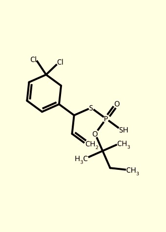 C=CC(SP(=O)(S)OC(C)(C)CC)C1=CC=CC(Cl)(Cl)C1